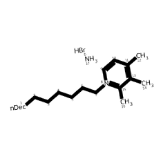 Br.CCCCCCCCCCCCCCCC[n+]1ccc(C)c(C)c1C.N